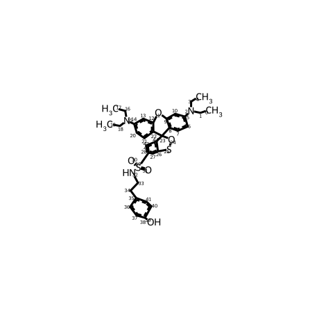 CCN(CC)c1ccc2c(c1)Oc1cc(N(CC)CC)ccc1C21OSc2cc(S(=O)(=O)NCCc3ccc(O)cc3)ccc21